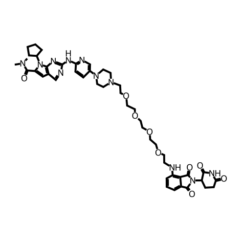 CN(C)C(=O)c1cc2cnc(Nc3ccc(N4CCN(CCOCCOCCOCCOCCNc5cccc6c5C(=O)N(C5CCC(=O)NC5=O)C6=O)CC4)cn3)nc2n1C1CCCC1